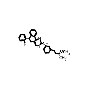 [CH2][C@H](CCc1cccc(Nc2ncc3c(n2)-c2ccccc2[C@H](c2ccccc2F)C3)c1)OC